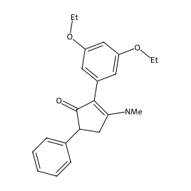 CCOc1cc(OCC)cc(C2=C(NC)CC(c3ccccc3)C2=O)c1